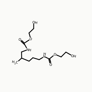 CC(CCCNC(=O)OCCO)CNC(=O)OCCO